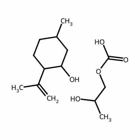 C=C(C)C1CCC(C)CC1O.CC(O)COC(=O)O